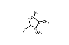 CC[C@@H]1OC(C)[C@@H](OC(C)=O)[C@@H]1C